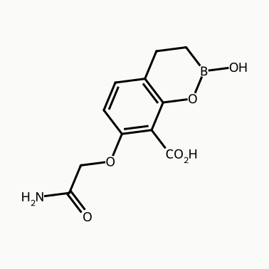 NC(=O)COc1ccc2c(c1C(=O)O)OB(O)CC2